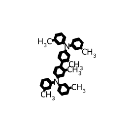 Cc1cccc(N(C2=CC(C)CC=C2)c2ccc(-c3ccc(N(c4cccc(C)c4)c4cccc(C)c4)cc3C)c(C)c2)c1